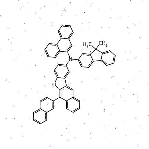 CC1(C)c2ccccc2-c2ccc(N(c3ccc4oc5c(-c6ccc7ccccc7c6)c6ccccc6cc5c4c3)c3cc4ccccc4c4ccccc34)cc21